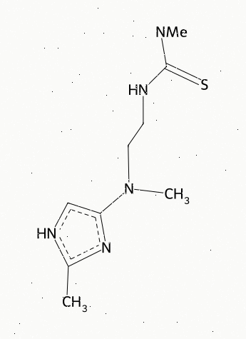 CNC(=S)NCCN(C)c1c[nH]c(C)n1